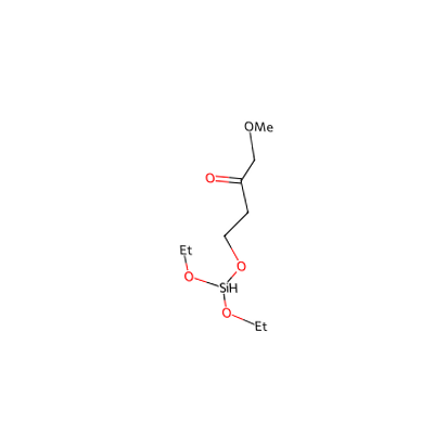 CCO[SiH](OCC)OCCC(=O)COC